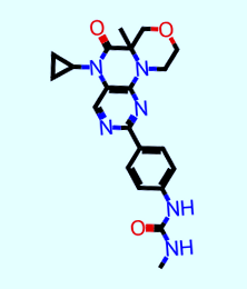 CNC(=O)Nc1ccc(-c2ncc3c(n2)N2CCOCC2(C)C(=O)N3C2CC2)cc1